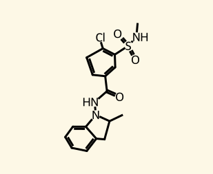 CNS(=O)(=O)c1cc(C(=O)NN2c3ccccc3CC2C)ccc1Cl